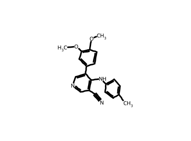 COc1ccc(-c2cncc(C#N)c2Nc2ccc(C)cc2)cc1OC